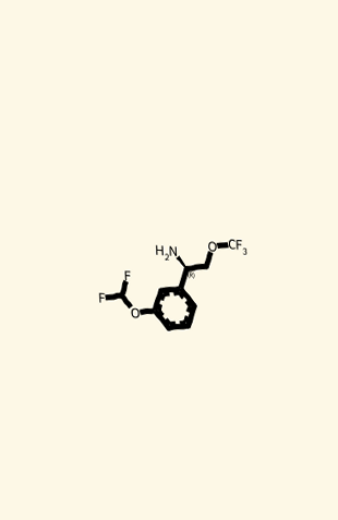 N[C@@H](COC(F)(F)F)c1cccc(OC(F)F)c1